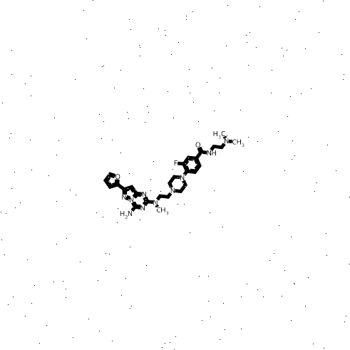 CN(C)CCNC(=O)c1ccc(N2CCN(CCN(C)c3nc(N)n4nc(-c5ccco5)cc4n3)CC2)c(F)c1